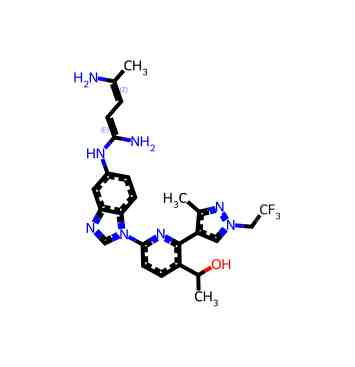 C/C(N)=C/C=C(\N)Nc1ccc2c(c1)ncn2-c1ccc(C(C)O)c(-c2cn(CC(F)(F)F)nc2C)n1